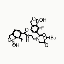 CC(C)(C)OC(=O)CN(CCNC(=O)c1ccc2c(c1F)B(O)OC2)C(=O)c1ccc2c(c1F)B(O)OC2